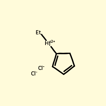 C[CH2][Hf+2][C]1=CC=CC1.[Cl-].[Cl-]